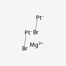 [Br][Pt-].[Br][Pt-].[Mg+2]